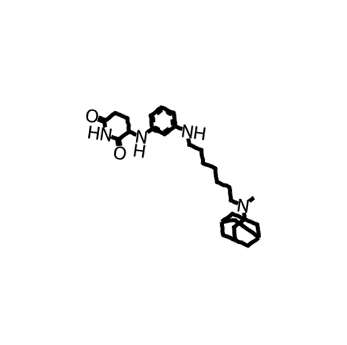 CN(CCCCCCCNc1cccc(NC2CCC(=O)NC2=O)c1)C12CC3CC(CC(C3)C1)C2